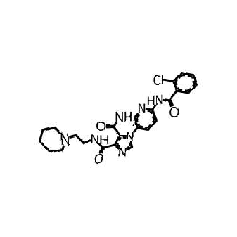 NC(=O)c1c(C(=O)NCCN2CCCCC2)ncn1-c1ccc(NC(=O)c2ccccc2Cl)nc1